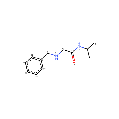 CC(C)NC(=O)CNCc1ccccc1